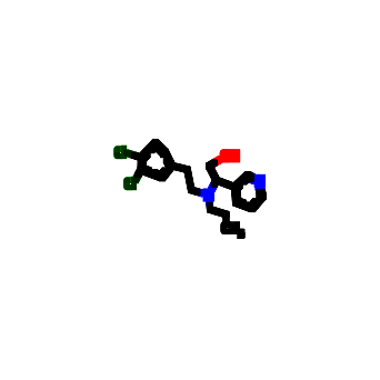 CCCN(CCc1ccc(Cl)c(Cl)c1)C(CO)c1cccnc1